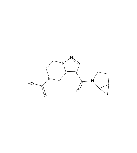 O=C(O)N1CCn2ncc(C(=O)N3CCC4CC43)c2C1